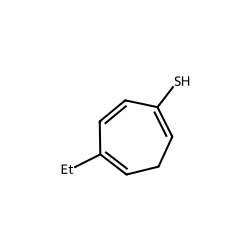 CCC1=CCC=C(S)C=C1